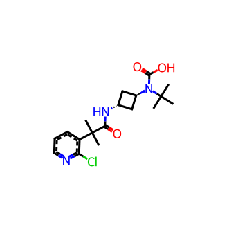 CC(C)(C(=O)N[C@H]1C[C@H](N(C(=O)O)C(C)(C)C)C1)c1cccnc1Cl